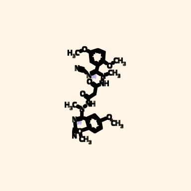 COc1ccc(OC)c(/C(=N\C#N)N(C)NC(=O)CC(=O)NN(C)/C(=N/C#N)c2cc(OC)ccc2OC)c1